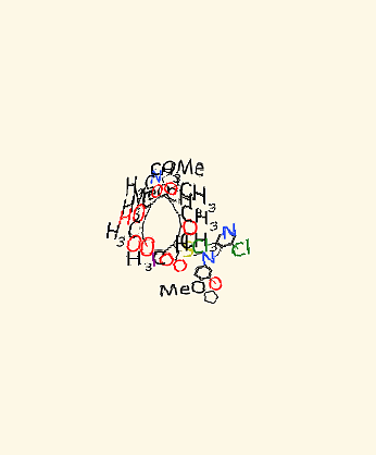 COc1ccc(N(CCS[C@@H]2C(=O)O[C@@]3(C)[C@H]2[C@@H](C)C(=O)[C@H](C)C[C@@](C)(OC)[C@H](O[C@@H]2O[C@H](C)C[C@@H](OC)[C@H]2N(C)C)[C@@H](C)[C@H](O)[C@@H](C)C(=O)O[C@@H]3I)Cc2c(Cl)cncc2Cl)cc1OC1CCCC1